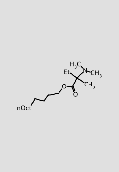 CCCCCCCCCCCCOC(=O)C(C)(CC)N(C)C